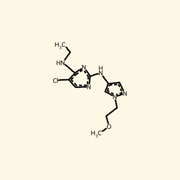 CCNc1nc(Nc2cnn(CCOC)c2)ncc1Cl